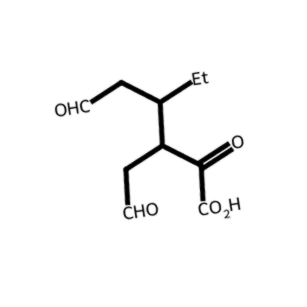 CCC(CC=O)C(CC=O)C(=O)C(=O)O